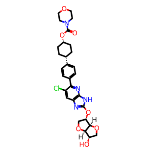 O=C(O[C@H]1CC[C@@H](c2ccc(-c3nc4[nH]c(O[C@@H]5CO[C@H]6[C@@H]5OC[C@H]6O)nc4cc3Cl)cc2)CC1)N1CCOCC1